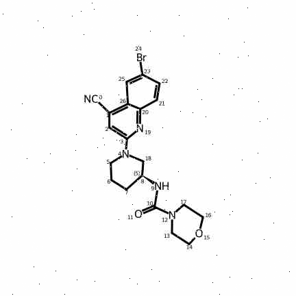 N#Cc1cc(N2CCC[C@H](NC(=O)N3CCOCC3)C2)nc2ccc(Br)cc12